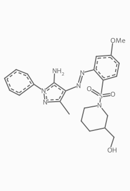 COc1ccc(S(=O)(=O)N2CCCC(CO)C2)c(/N=N/c2c(C)nn(-c3ccccc3)c2N)c1